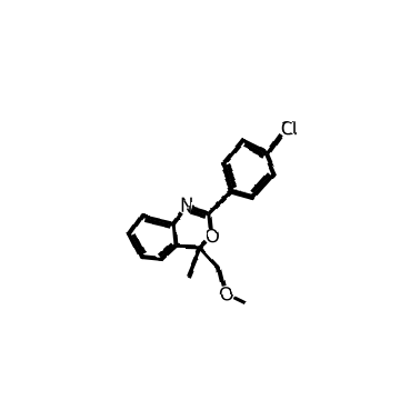 COCC1(C)OC(c2ccc(Cl)cc2)=Nc2ccccc21